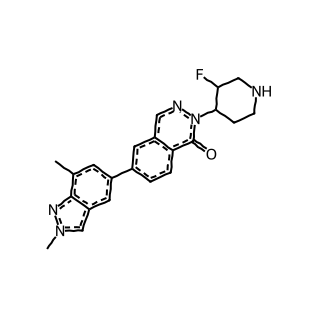 Cc1cc(-c2ccc3c(=O)n(C4CCNCC4F)ncc3c2)cc2cn(C)nc12